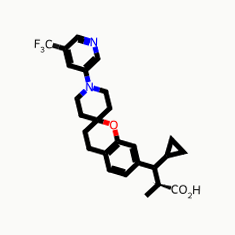 C[C@H](C(=O)O)C(c1ccc2c(c1)OC1(CC2)CCN(c2cncc(C(F)(F)F)c2)CC1)C1CC1